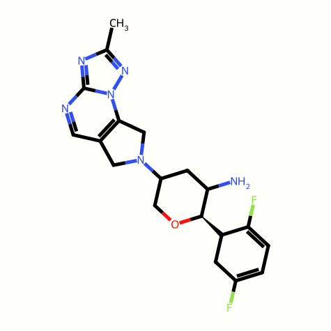 Cc1nc2ncc3c(n2n1)CN(C1CO[C@H](C2CC(F)=CC=C2F)C(N)C1)C3